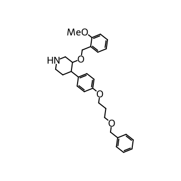 COc1ccccc1COC1CNCCC1c1ccc(OCCCOCc2ccccc2)cc1